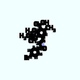 Cc1cc(/C=C/C(=O)c2ccc(Br)cc2)c(OC(C)(C)C)c(C)c1C(=O)O